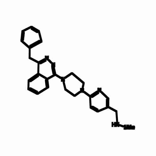 CSNCc1ccc(N2CCN(c3nnc(Cc4ccccc4)c4ccccc34)CC2)nc1